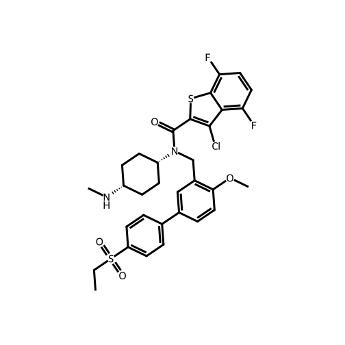 CCS(=O)(=O)c1ccc(-c2ccc(OC)c(CN(C(=O)c3sc4c(F)ccc(F)c4c3Cl)[C@H]3CC[C@@H](NC)CC3)c2)cc1